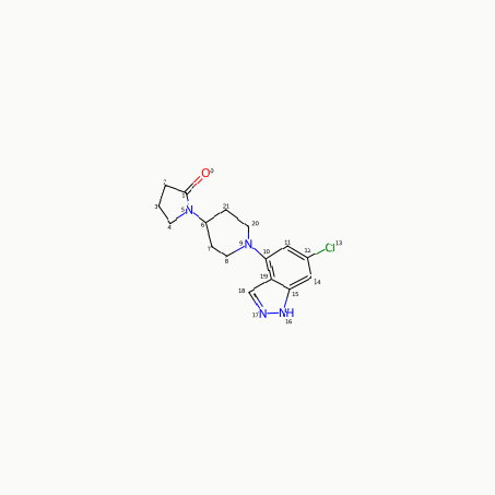 O=C1CCCN1C1CCN(c2cc(Cl)cc3[nH]ncc23)CC1